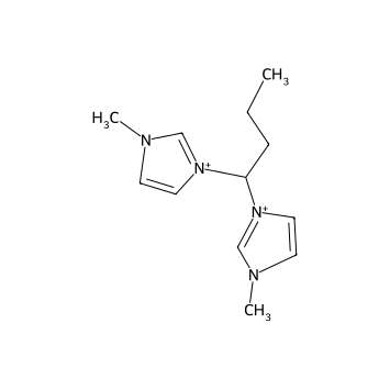 CCCC([n+]1ccn(C)c1)[n+]1ccn(C)c1